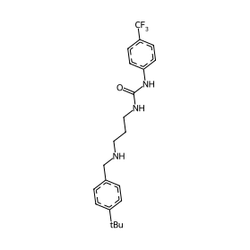 CC(C)(C)c1ccc(CNCCCNC(=O)Nc2ccc(C(F)(F)F)cc2)cc1